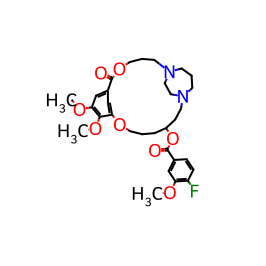 COc1cc(C(=O)OC2CCCOc3cc(cc(OC)c3OC)C(=O)OCCCN3CCCN(CC2)CC3)ccc1F